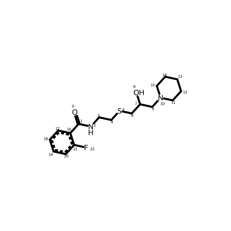 O=C(NCCSCC(O)CN1CCCCC1)c1ccccc1F